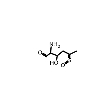 CC(CC(O)C(N)[C]=O)=S=O